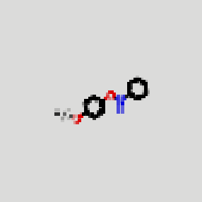 FC(F)(F)Oc1ccc(ONc2ccccc2)cc1